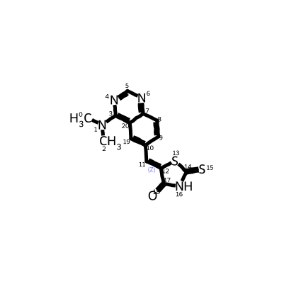 CN(C)c1ncnc2ccc(/C=C3\SC(=S)NC3=O)cc12